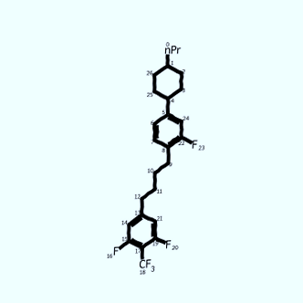 CCCC1CCC(c2ccc(CCCCc3cc(F)c(C(F)(F)F)c(F)c3)c(F)c2)CC1